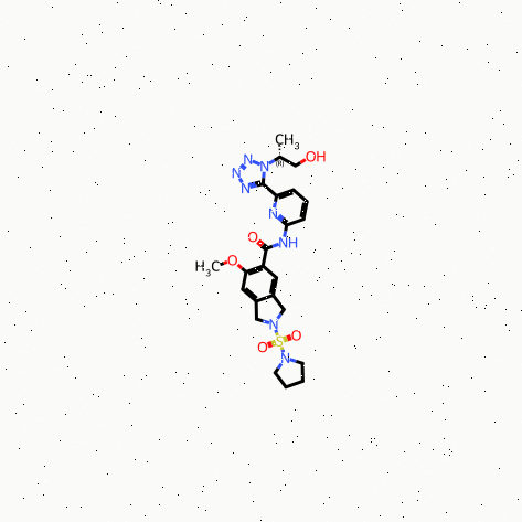 COc1cc2c(cc1C(=O)Nc1cccc(-c3nnnn3[C@H](C)CO)n1)CN(S(=O)(=O)N1CCCC1)C2